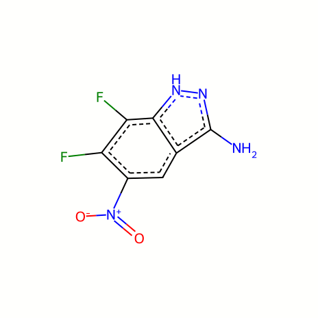 Nc1n[nH]c2c(F)c(F)c([N+](=O)[O-])cc12